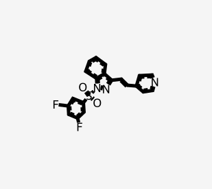 O=S(=O)(c1cc(F)cc(F)c1)n1nc(C=Cc2ccncc2)c2ccccc21